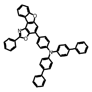 c1ccc(-c2ccc(N(c3ccc(-c4ccccc4)cc3)c3ccc(-c4cc5oc6ccccc6c5c5nc(-c6ccccc6)oc45)cc3)cc2)cc1